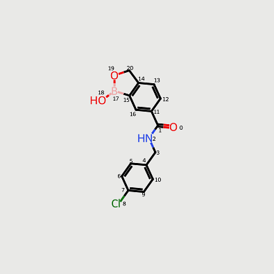 O=C(NCc1ccc(Cl)cc1)c1ccc2c(c1)B(O)OC2